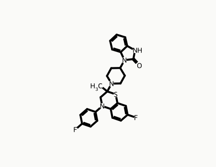 CC1(N2CCC(n3c(=O)[nH]c4ccccc43)CC2)CN(c2ccc(F)cc2)c2ccc(F)cc2S1